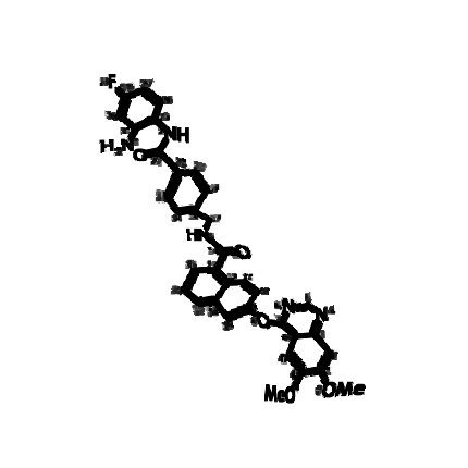 COc1cc2ncnc(Oc3ccc4c(C(=O)NCc5ccc(C(=O)Nc6ccc(F)cc6N)cc5)cccc4c3)c2cc1OC